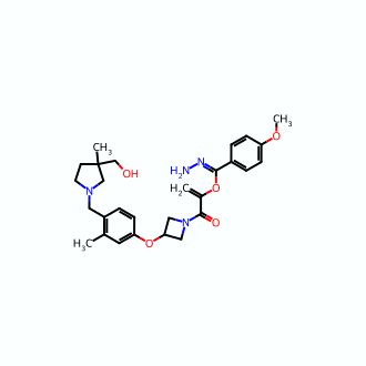 C=C(O/C(=N\N)c1ccc(OC)cc1)C(=O)N1CC(Oc2ccc(CN3CCC(C)(CO)C3)c(C)c2)C1